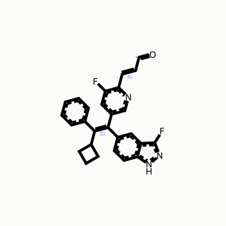 O=[C]/C=C/c1ncc(/C(=C(\c2ccccc2)C2CCC2)c2ccc3[nH]nc(F)c3c2)cc1F